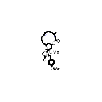 COc1ccc(CN2C(=O)SC[C@@H]2[C@@]2(OC)CC3C[C@@H](CCC/C=C/CC/C(C)=C\C(=O)O3)O2)cc1